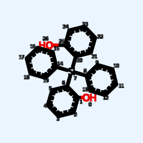 Oc1ccccc1[Si](c1ccccc1)(c1ccccc1)c1ccccc1O